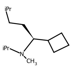 CC(C)CC[C@@H](C1CCC1)N(C)C(C)C